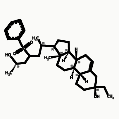 CC[C@]1(O)CC[C@H]2C(=CC[C@@H]3[C@@H]2CC[C@]2(C)[C@@H]([C@H](C)CC(C[C@H](C)O)S(=O)(=O)c4ccccc4)CC[C@@H]32)C1